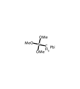 CO[Si](C)(OC)OC.[Pb]